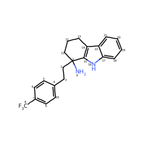 NC1(CCc2ccc(C(F)(F)F)cc2)CCCc2c1[nH]c1ccccc21